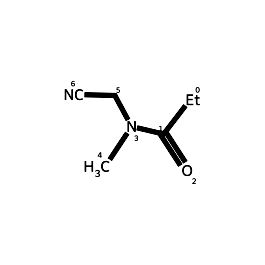 [CH2]CC(=O)N(C)CC#N